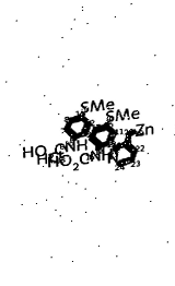 CSc1ccc(NC(=O)O)cc1.CSc1ccc(NC(=O)O)cc1.Cl.[Zn][CH2]c1cccnc1